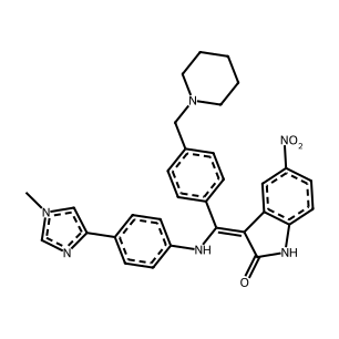 Cn1cnc(-c2ccc(N/C(=C3\C(=O)Nc4ccc([N+](=O)[O-])cc43)c3ccc(CN4CCCCC4)cc3)cc2)c1